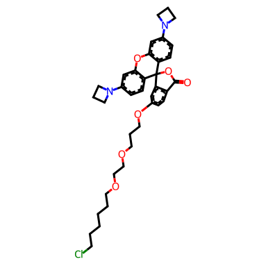 O=C1OC2(c3ccc(N4CCC4)cc3Oc3cc(N4CCC4)ccc32)c2cc(OCCCOCCOCCCCCCCl)ccc21